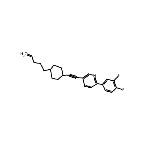 C=CCCCC1CCC(C#Cc2ccc(-c3ccc(F)c(F)c3)nc2)CC1